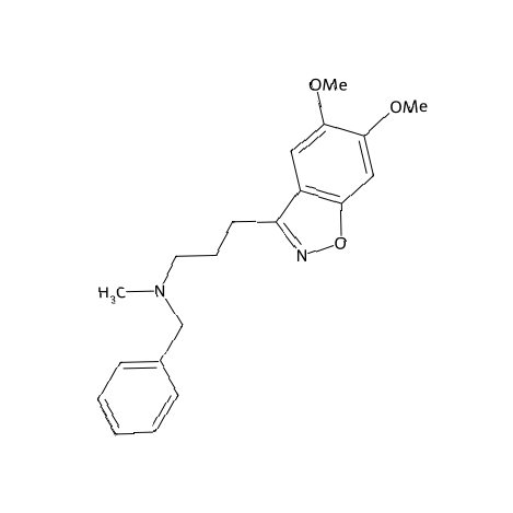 COc1cc2onc(CCCN(C)Cc3ccccc3)c2cc1OC